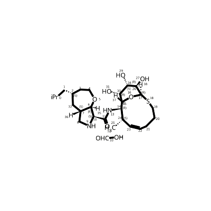 CC(C)C[C@@H]1CCO[C@@H]2[C@H](CN[C@@H]2C(=O)N[C@H]2[C@H]3O[C@H](SCCCC=C[C@@H]2C)[C@H](O)[C@@H](O)[C@H]3O)C1.O=CO